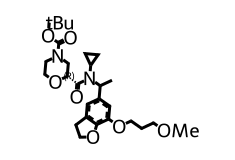 COCCCOc1cc(C(C)N(C(=O)[C@H]2CN(C(=O)OC(C)(C)C)CCO2)C2CC2)cc2c1OCC2